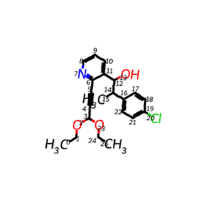 CCOC(C#Cc1ncccc1C(O)C(C)c1ccc(Cl)cc1)OCC